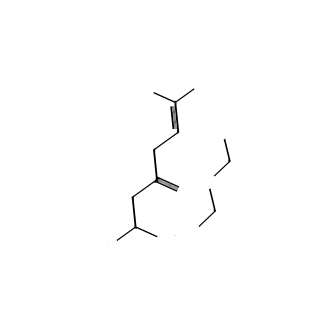 CC(C)=CCC(=O)CC(C)C.CCOCC